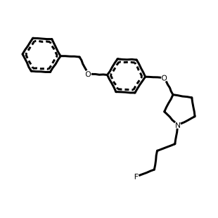 FCCCN1CCC(Oc2ccc(OCc3ccccc3)cc2)C1